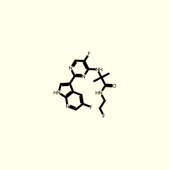 CC(C)(Nc1nc(-c2c[nH]c3ncc(F)cc23)ncc1F)C(=O)NCCF